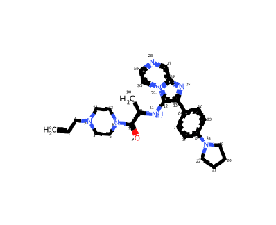 C=CCN1CCN(C(=O)C(C)Nc2c(-c3ccc(N4CCCC4)cc3)nc3cnccn23)CC1